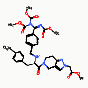 CC(C)OC(=O)Cn1cc2c(n1)CCN(C(=O)[C@H](Cc1ccc([N+](=O)[O-])cc1)NCc1ccc(C(=NC(=O)OC(C)(C)C)N(C(=O)OC(C)(C)C)C(=O)OC(C)(C)C)cc1)C2